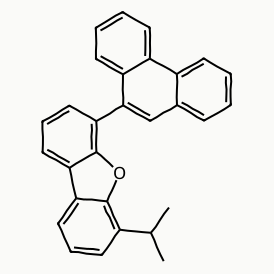 CC(C)c1cccc2c1oc1c(-c3cc4ccccc4c4ccccc34)cccc12